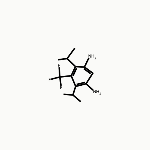 CC(C)c1c(N)cc(N)c(C(C)C)c1C(F)(F)F